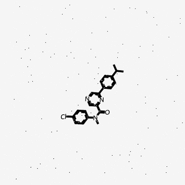 CC(C)c1ccc(-c2cncc(C(=O)N(C)c3ccc(Cl)cc3)n2)cc1